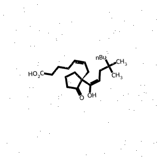 CCCCC(C)(C)C/C=C(/O)[C@@]1(C/C=C\CCCC(=O)O)CCCC1=O